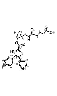 CC1(CNC(=O)CCCC(=O)O)COC(c2nc(-c3ccncc3)c(-c3ccc(F)cc3)[nH]2)OC1